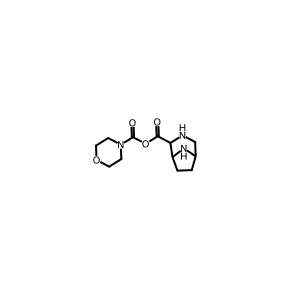 O=C(OC(=O)N1CCOCC1)C1NCC2CCC1N2